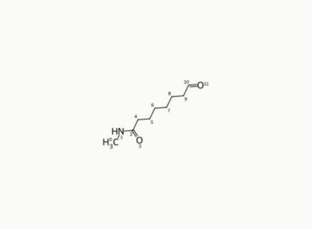 CNC(=O)CCCCCCC=O